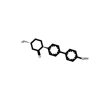 CCC[C@@H]1CC[C@@H](c2ccc(-c3ccc(OC)cc3)cc2)C(=O)C1